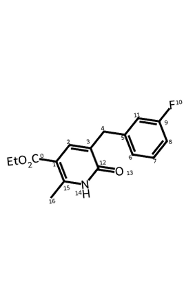 CCOC(=O)c1cc(Cc2cccc(F)c2)c(=O)[nH]c1C